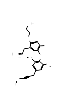 C=CCc1cc(Oc2c(OC)cc(CC#CSI)cc2OC)c(Cl)cc1OCCC